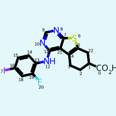 O=C(O)C1CCc2c(sc3ncnc(Nc4ccc(I)cc4F)c23)C1